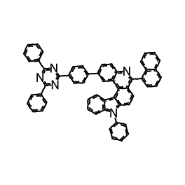 c1ccc(-c2nc(-c3ccccc3)nc(-c3ccc(-c4ccc5nc(-c6cccc7ccccc67)c6ccc7c(c8ccccc8n7-c7ccccc7)c6c5c4)cc3)n2)cc1